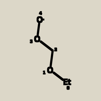 CCOCO[O]